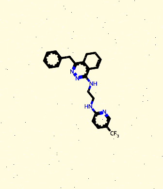 FC(F)(F)c1ccc(NCCNc2nnc(Cc3ccccc3)c3c2C=CCC3)nc1